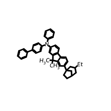 CCC1CC2CCC(c3ccc4c(c3)C(C)(C)c3cc(N(c5ccccc5)c5ccc(-c6ccccc6)cc5)ccc3-4)(C1)C2